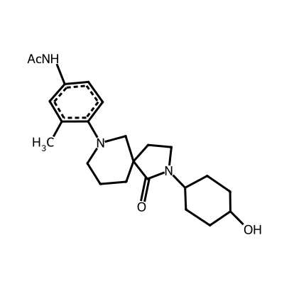 CC(=O)Nc1ccc(N2CCCC3(CCN(C4CCC(O)CC4)C3=O)C2)c(C)c1